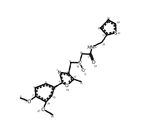 COc1ccc(-c2nc(C[S+]([O-])CC(=O)NCc3cccs3)c(C)o2)cc1OC